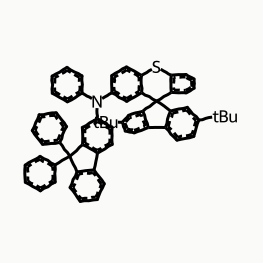 CC(C)(C)c1ccc2c(c1)C1(c3ccccc3Sc3ccc(N(c4ccccc4)c4ccc5c(c4)C(c4ccccc4)(c4ccccc4)c4ccccc4-5)cc31)c1cc(C(C)(C)C)ccc1-2